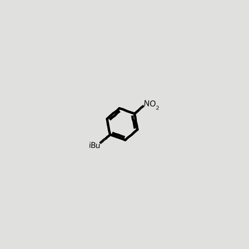 CCC(C)c1ccc([N+](=O)[O-])cc1